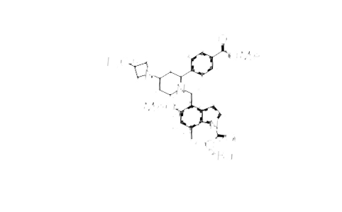 COC(=O)c1ccc(C2CC(N3CC(C(F)(F)F)C3)CCN2Cc2c(OC)cc(C)c3c2ccn3C(=O)OC(C)(C)C)cc1